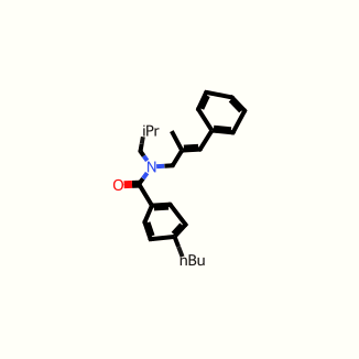 CCCCc1ccc(C(=O)N(C/C(C)=C/c2ccccc2)CC(C)C)cc1